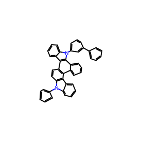 c1ccc(-c2cccc(-n3c4ccccc4c4c5ccc6c(c7ccccc7n6-c6ccccc6)c5c5ccccc5c43)c2)cc1